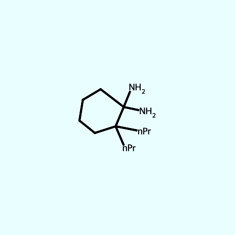 CCCC1(CCC)CCCCC1(N)N